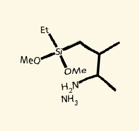 CC[Si](CC(C)C(C)N)(OC)OC.N